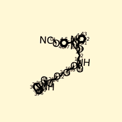 N#CCOc1ccc(-c2nc(OCCCNC(=O)OCCOCCOCCOC(=O)NC34CC5CC(CC(C5)C3)C4)c3ccccc3n2)cc1